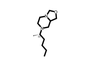 CCCC[C@H](C)N1CCN2COCC2C1